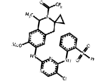 COc1cc2c(cc1Nc1ncc(Cl)c(Nc3ccccc3S(=O)(=O)C(C)C)n1)CC1(CC1)N(C(=O)C(F)(F)F)C2C